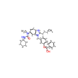 CCCCc1nc2ccc(N(C)C(=O)NC3CCCCC3)cc2n1Cc1ccc(-c2ccccc2C(=O)O)cc1